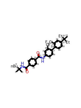 CCCCC(C)(C)NC(=O)c1ccc(C(=O)Nc2ccc(-c3ccc(C(C)(CC)CC)cc3C(F)(F)F)c(C(F)(F)F)c2)cc1